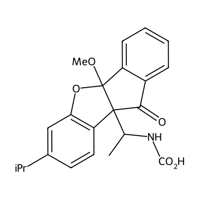 COC12Oc3cc(C(C)C)ccc3C1(C(C)NC(=O)O)C(=O)c1ccccc12